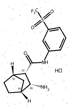 Cl.N[C@@H]1[C@@H]2CC[C@@H](C2)[C@@H]1C(=O)Nc1cccc(S(=O)(=O)C(F)(F)F)c1